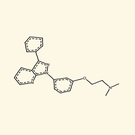 CN(C)CCOc1cccc(-n2nc(-c3ccccc3)c3cccnc32)c1